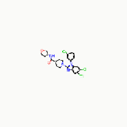 O=C(N[C@@H]1CCOC1)C1CCN(c2nc3cc(Cl)c(Cl)cc3n2-c2cccc(Cl)c2)CC1